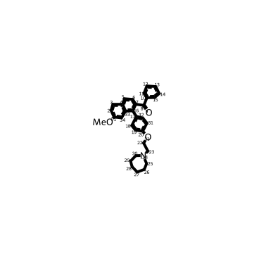 COc1ccc2ccc(C(=O)c3ccccc3)c(-c3ccc(OCCN4CCCCCC4)cc3)c2c1